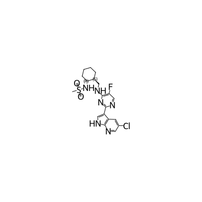 CS(=O)(=O)N[C@@H]1CCCC[C@H]1CNc1nc(-c2c[nH]c3ncc(Cl)cc23)ncc1F